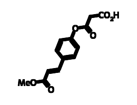 COC(=O)C=Cc1ccc(OC(=O)CC(=O)O)cc1